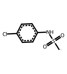 [CH2]S(=O)(=O)Nc1ccc(Cl)cc1